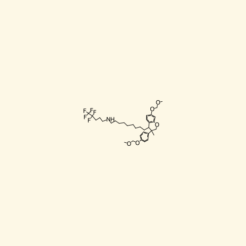 COCOc1ccc(C2(C)COc3cc(OCOC)ccc3C2CCCCCCCCCNCCCC(F)(F)C(F)(F)F)cc1